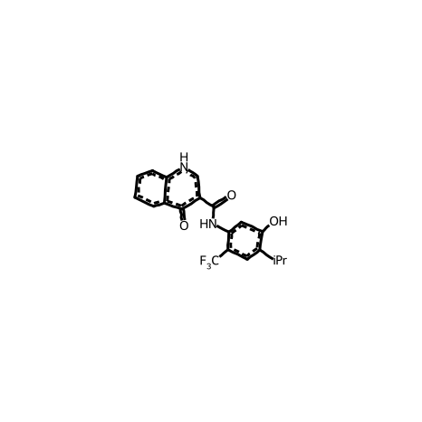 CC(C)c1cc(C(F)(F)F)c(NC(=O)c2c[nH]c3ccccc3c2=O)cc1O